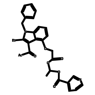 CCc1c(C(=O)C(C)=O)c2c(OCC(=O)OC(C)OC(=O)c3cccnc3)cccc2n1Cc1ccccc1